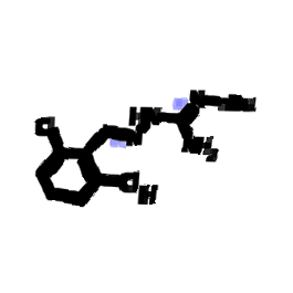 CCCC/N=C(\N)N/N=C/c1c(Cl)cccc1Cl.I